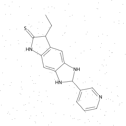 CCC1C(=S)Nc2cc3c(cc21)NC(c1cccnc1)N3